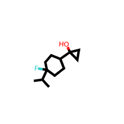 CC(C)C1(F)CCC(C2(O)CC2)CC1